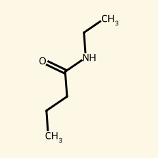 CCCC(=O)NCC